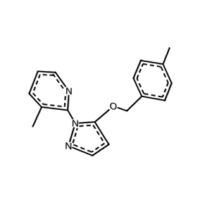 Cc1ccc(COc2ccnn2-c2ncccc2C)cc1